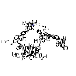 CN/C(N)=N\c1ncc(CNc2ccc(C(=O)NC(CCC(=O)NCC(N)C(=O)NC(CC(=O)O)C(=O)NC(CSSCCNC(=O)Oc3cc4c(c5ccccc35)C(C)CN4C(=O)c3cc4cc(NC(=O)c5cc6ccccc6[nH]5)ccc4[nH]3)C(=O)O)C(=O)O)cc2)nc1C=O